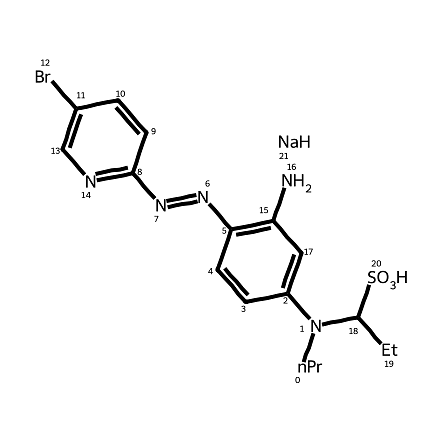 CCCN(c1ccc(/N=N/c2ccc(Br)cn2)c(N)c1)C(CC)S(=O)(=O)O.[NaH]